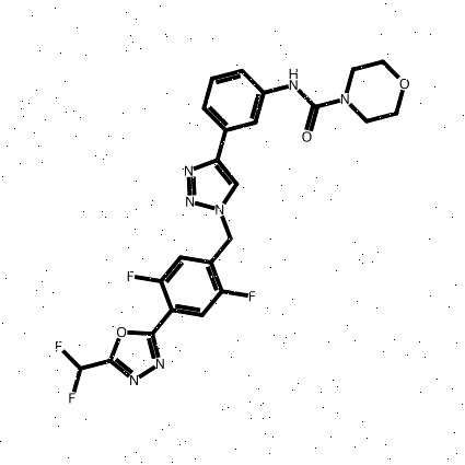 O=C(Nc1cccc(-c2cn(Cc3cc(F)c(-c4nnc(C(F)F)o4)cc3F)nn2)c1)N1CCOCC1